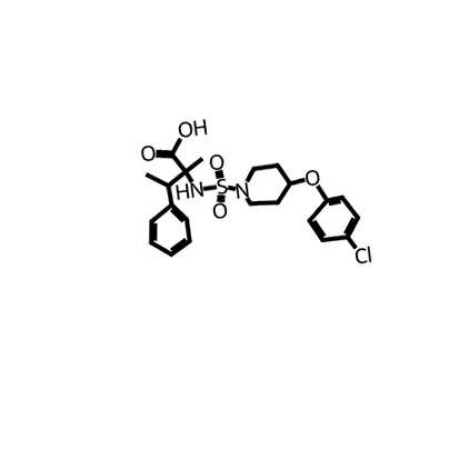 CC(c1ccccc1)C(C)(NS(=O)(=O)N1CCC(Oc2ccc(Cl)cc2)CC1)C(=O)O